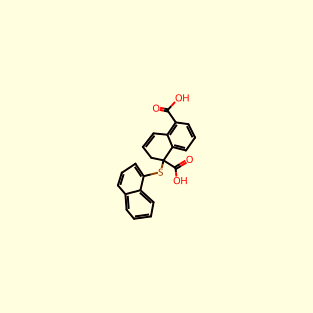 O=C(O)c1cccc2c1C=CCC2(Sc1cccc2ccccc12)C(=O)O